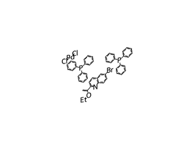 C=C(OCC)c1ccc2cc(Br)ccc2n1.[Cl][Pd][Cl].c1ccc(P(c2ccccc2)c2ccccc2)cc1.c1ccc(P(c2ccccc2)c2ccccc2)cc1